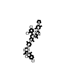 Cc1nn(C(C)c2ccc(Cl)cc2Cl)c2nc(N3CCC(N4CC(CC(c5ccc(Cl)cc5Cl)n5nc(C)c6ncc(N7CC(C)C(N8CCCC8)CC7C)nc65)CC4C)C(C)C3)cnc12